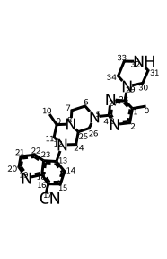 Cc1cnc(N2CCN3C(C)CN(c4ccc(C#N)c5ncccc45)CC3C2)nc1N1CCNCC1